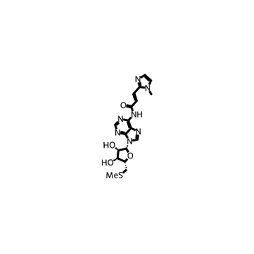 CSC[C@H]1O[C@@H](n2cnc3c(NC(=O)/C=C/c4nccn4C)ncnc32)[C@H](O)[C@@H]1O